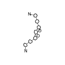 N#Cc1cccc(-c2ccc(-c3ccc4oc5c(ccc6c7cc(-c8ccc(-c9cccc(C#N)c9)cc8)ccc7oc65)c4c3)cc2)c1